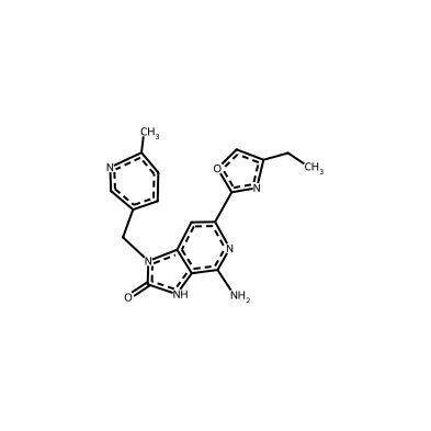 CCc1coc(-c2cc3c([nH]c(=O)n3Cc3ccc(C)nc3)c(N)n2)n1